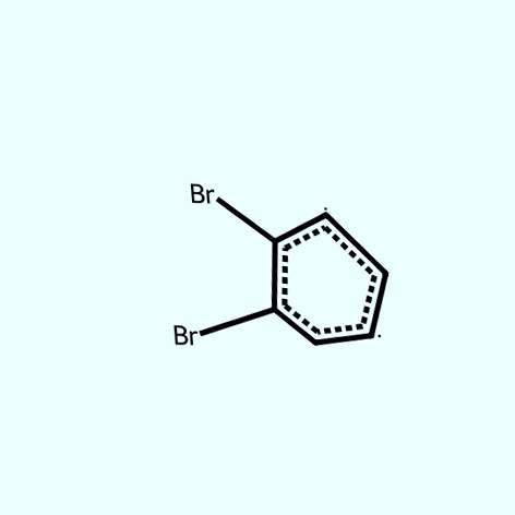 Brc1[c]c[c]cc1Br